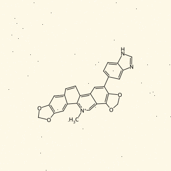 C[n+]1cc2c3c(c(-c4ccc5[nH]cnc5c4)cc2c2ccc4cc5c(cc4c21)OCO5)OCO3